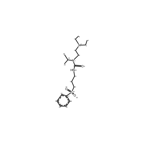 CCN(CC)CCN(C(=O)NCCCS(=O)(=O)c1ccccc1)C(C)C